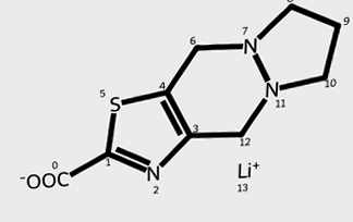 O=C([O-])c1nc2c(s1)CN1CCCN1C2.[Li+]